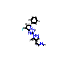 C=N/C=C\c1cnn(-c2nc3n(n2)[C@H](c2ccccc2)C[C@@H]3F)c1C